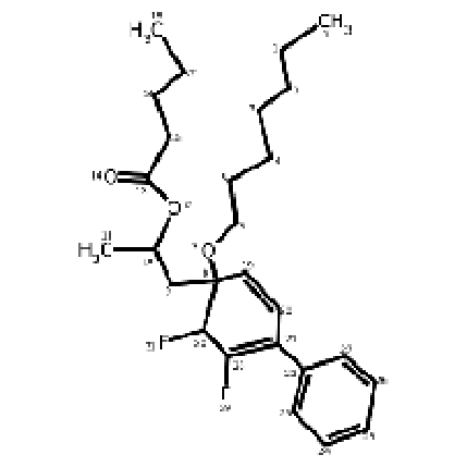 CCCCCCCOC1(CC(C)OC(=O)CCCC)C=CC(c2ccccc2)=C(F)C1F